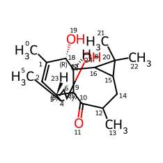 CC1=C[C@H]2C(C)=CC(O)[C@]23C(=O)C(C)CC2C([C@@H]3[C@H]1O)C2(C)C